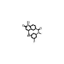 CCn1c(=O)cc(C2CC2)c2cc(C(=O)N(C)c3cccc(F)c3)ccc21